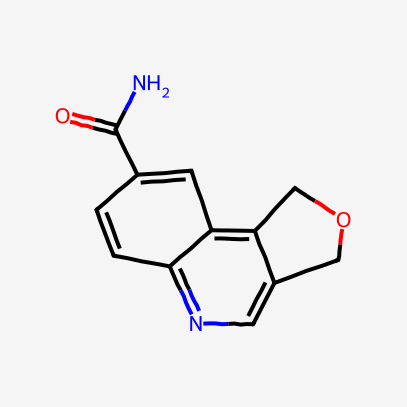 NC(=O)c1ccc2ncc3c(c2c1)COC3